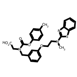 Cc1ccc(OC(=O)N(CC(=O)O)Cc2cccc(OCCN(C)c3nc4ccccc4s3)c2)cc1